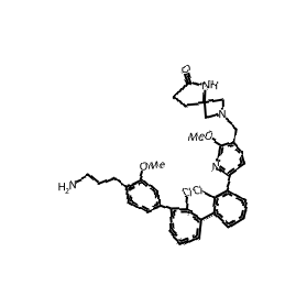 COc1cc(-c2cccc(-c3cccc(-c4ccc(CN5CC6(CCC(=O)N6)C5)c(OC)n4)c3Cl)c2Cl)ccc1CCCN